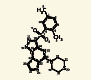 Cc1ccc(C)c(S(=O)(=O)c2nnn3c2nc(N2CCSCC2)c2sccc23)c1